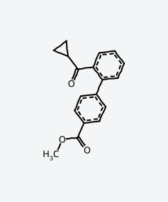 COC(=O)c1ccc(-c2ccccc2C(=O)C2CC2)cc1